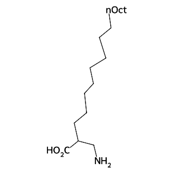 CCCCCCCCCCCCCCCCC(CN)C(=O)O